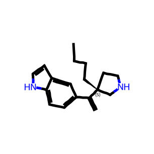 C=C(c1ccc2[nH]ccc2c1)[C@]1(CCCC)CCNC1